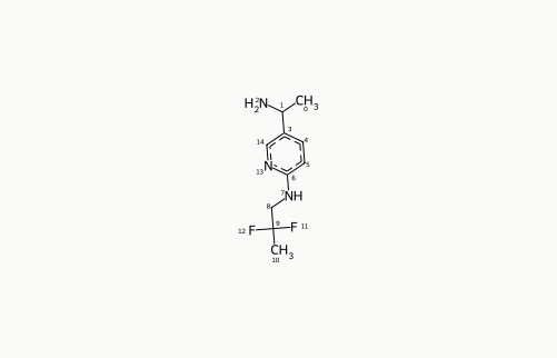 CC(N)c1ccc(NCC(C)(F)F)nc1